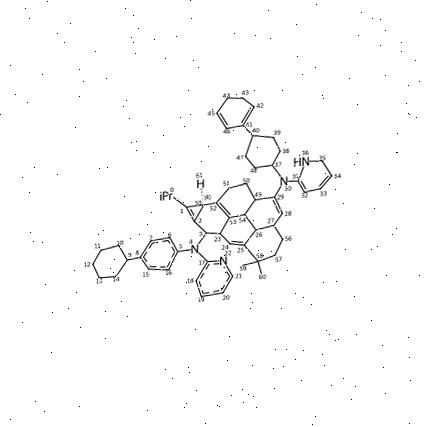 CC(C)C1=C2C(N(c3ccc(C4CCCCC4)cc3)c3ccccn3)C3C=C4C5C(C=C(N(C6=CC=CCN6)C6CCC(C7=CCCC=C7)CC6)C6CCC(=C3C65)[C@H]12)CCC4(C)C